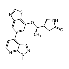 C[C@@H](Oc1cc(-c2ccnc3[nH]ncc23)cc2ncsc12)[C@H]1CNC(=O)C1